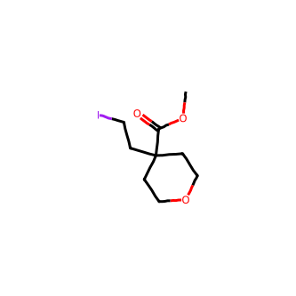 COC(=O)C1(CCI)CCOCC1